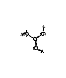 C=C(C#CC(C)(C)C)/C=C(/C#Cc1cc(C#Cc2cncc(C#CC(C)(C)C)c2)cc(C#Cc2cncc(C#CC(C)(C)C)c2)c1)C=N